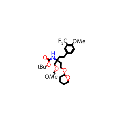 COCOCC(C=Cc1ccc(OC)c(C(F)(F)F)c1)(CCOC1CCCCO1)NC(=O)OC(C)(C)C